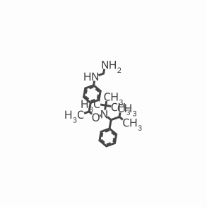 CC(ON(C(c1ccccc1)C(C)C)C(C)(C)C)c1ccc(NCN)cc1